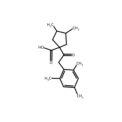 Cc1cc(C)c(CC(=O)C2(C(=O)O)CC(C)C(C)C2)c(C)c1